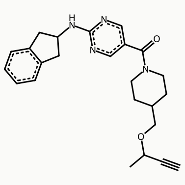 C#CC(C)OCC1CCN(C(=O)c2cnc(NC3Cc4ccccc4C3)nc2)CC1